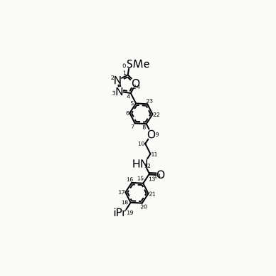 CSc1nnc(-c2ccc(OCCNC(=O)c3ccc(C(C)C)cc3)cc2)o1